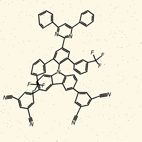 N#Cc1cc(C#N)cc(-c2ccc3c(c2)c2cc(-c4cc(C#N)cc(C#N)c4)ccc2n3-c2c(-c3cccc(C(F)(F)F)c3)cc(-c3nc(-c4ccccc4)cc(-c4ccccc4)n3)cc2-c2cccc(C(F)(F)F)c2)c1